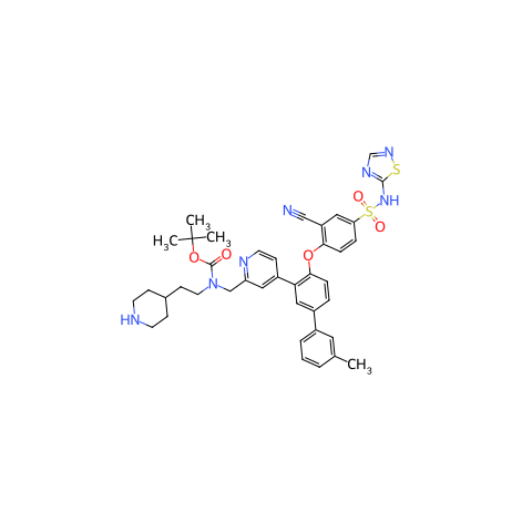 Cc1cccc(-c2ccc(Oc3ccc(S(=O)(=O)Nc4ncns4)cc3C#N)c(-c3ccnc(CN(CCC4CCNCC4)C(=O)OC(C)(C)C)c3)c2)c1